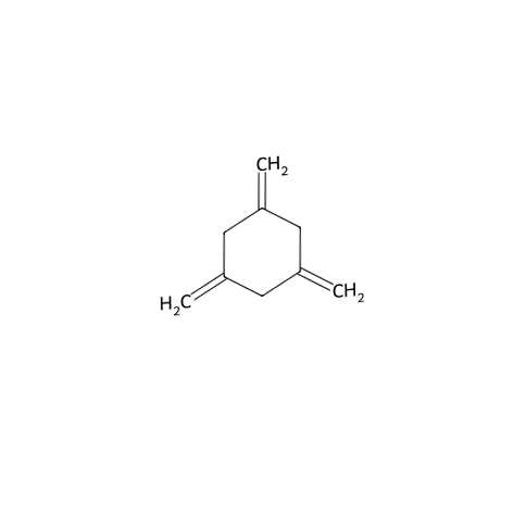 C=C1CC(=C)CC(=C)C1